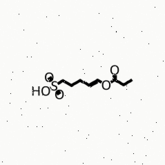 CCC(=O)OC=CCCCS(=O)(=O)O